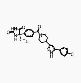 C[C@]1(c2ccc(C(=O)N3CCC(c4cc(-c5ccc(Cl)cc5)[nH]n4)CC3)cc2)NC(=O)NC1=O